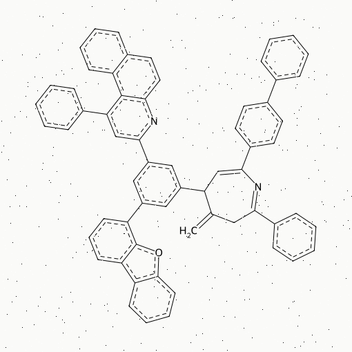 C=C1CC(c2ccccc2)=NC(c2ccc(-c3ccccc3)cc2)=CC1c1cc(-c2cc(-c3ccccc3)c3c(ccc4ccccc43)n2)cc(-c2cccc3c2oc2ccccc23)c1